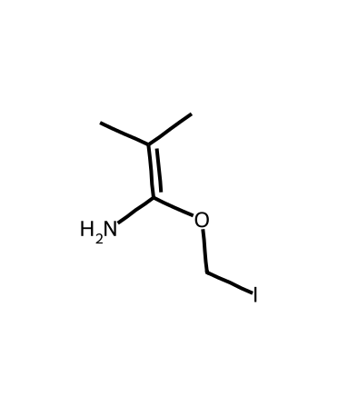 CC(C)=C(N)OCI